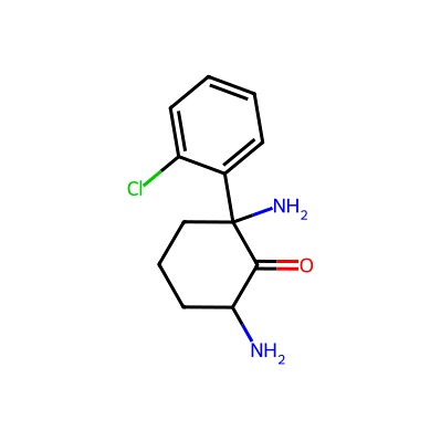 NC1CCCC(N)(c2ccccc2Cl)C1=O